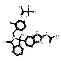 Cc1ccccc1CN1C(=O)c2ccccc2C1(O)c1ccc2[nH]c(NC(=O)O)nc2c1.O=C(O)C(F)(F)F